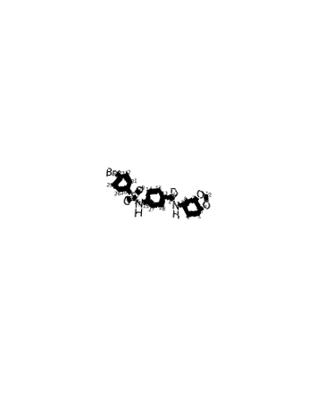 O=C(Nc1ccc2c(c1)OCO2)c1ccc(NS(=O)(=O)c2ccc(Br)cc2)cc1